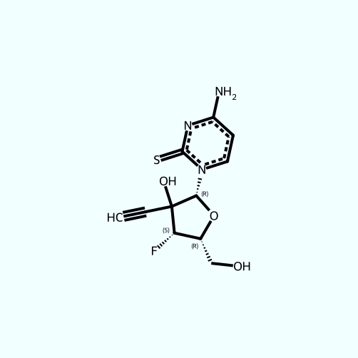 C#CC1(O)[C@@H](F)[C@@H](CO)O[C@H]1n1ccc(N)nc1=S